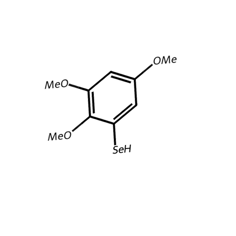 COc1cc([SeH])c(OC)c(OC)c1